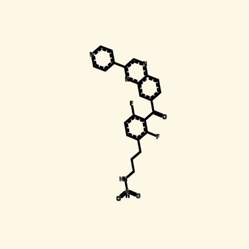 O=C(c1ccc2ncc(-c3ccncc3)nc2c1)c1c(F)ccc(CCCN[SH](=O)=O)c1F